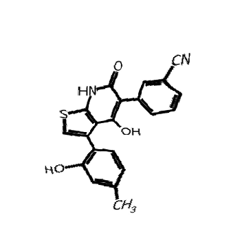 Cc1ccc(-c2csc3[nH]c(=O)c(-c4cccc(C#N)c4)c(O)c23)c(O)c1